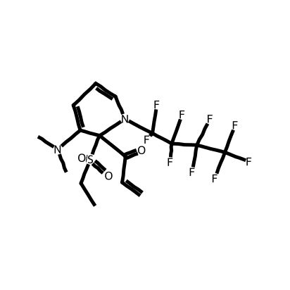 C=CC(=O)C1(S(=O)(=O)CC)C(N(C)C)=CC=CN1C(F)(F)C(F)(F)C(F)(F)C(F)(F)F